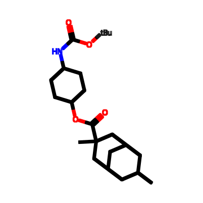 CC1CC2CC(C1)CC(C)(C(=O)OC1CCC(NC(=O)OC(C)(C)C)CC1)C2